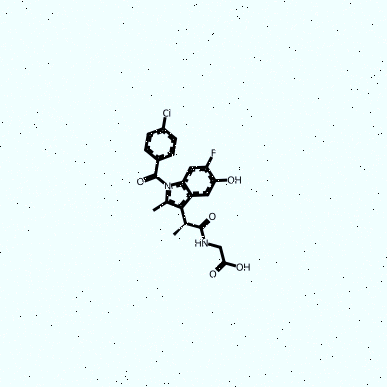 Cc1c([C@H](C)C(=O)NCC(=O)O)c2cc(O)c(F)cc2n1C(=O)c1ccc(Cl)cc1